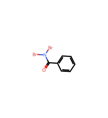 O=C(c1ccccc1)N(Br)Br